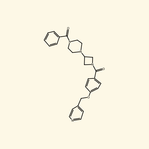 O=C(c1ccccc1)N1CCN(C2CN(C(=O)c3ccc(OCc4ccncc4)cc3)C2)CC1